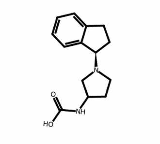 O=C(O)NC1CCN([C@@H]2CCc3ccccc32)C1